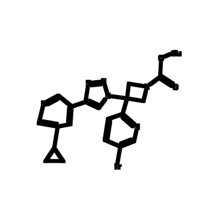 CC(C)(C)OC(=O)N1CC(c2ccc(Br)cn2)(n2cc(-c3cncc(C4CC4)c3)nn2)C1